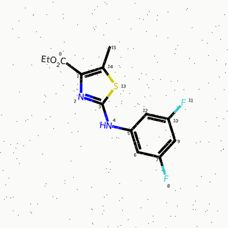 CCOC(=O)c1nc(Nc2cc(F)cc(F)c2)sc1C